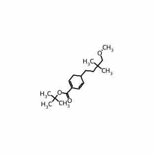 COCC(C)(C)CCC1C=CC(C(=O)OC(C)(C)C)=CC1